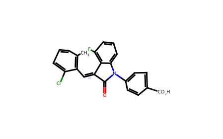 Cc1cccc(Cl)c1/C=C1/C(=O)N(c2ccc(C(=O)O)cc2)c2cccc(F)c21